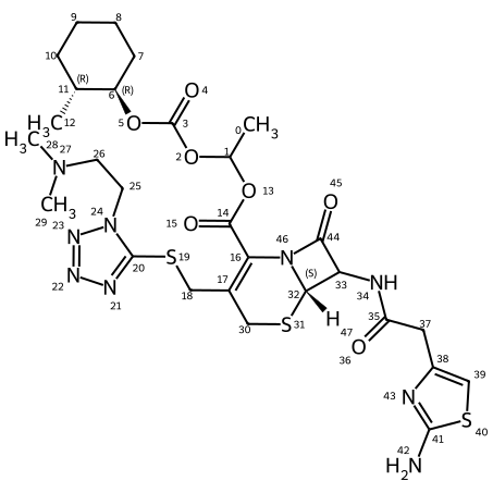 CC(OC(=O)O[C@@H]1CCCC[C@H]1C)OC(=O)C1=C(CSc2nnnn2CCN(C)C)CS[C@H]2C(NC(=O)Cc3csc(N)n3)C(=O)N12